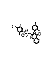 Cc1ccc(-n2c(CN(C)S(=O)(=O)c3cc(C)c(Cl)cc3C)nc3ccccc3c2=O)c(C)c1